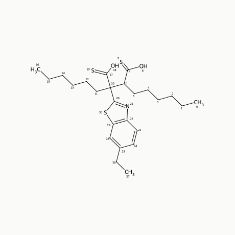 CCCCCCC(C(O)=S)C(CCCCCC)(C(O)=S)c1nc2ccc(CC)cc2s1